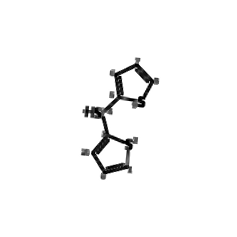 c1csc([SiH]c2cccs2)c1